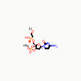 CCCCOP(=O)(O)OC1C[C@H](n2ccc(N)nc2=O)O[C@@H]1COP(=O)(O)CCOCC